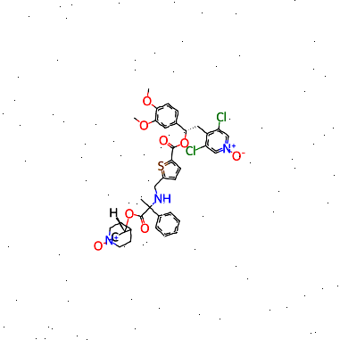 COc1ccc([C@H](Cc2c(Cl)c[n+]([O-])cc2Cl)OC(=O)c2ccc(CNC(C)(C(=O)O[C@H]3C[N+]4([O-])CCC3CC4)c3ccccc3)s2)cc1OC